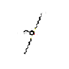 CCCCCCCCCCSc1cc(C(C)(C)CC(C)(C)C)cc(SCCCCCCCCCC)c1O